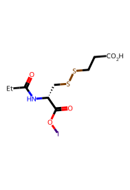 CCC(=O)N[C@H](CSSCCC(=O)O)C(=O)OI